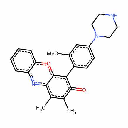 COc1cc(N2CCNCC2)ccc1-c1c2oc3ccccc3nc-2c(C)c(C)c1=O